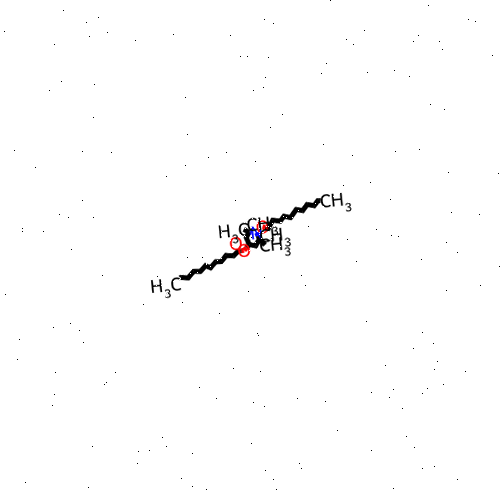 CCCCCCCCCCCON1C(C)(C)CC(OC(=O)CCCCCCCCCCC)CC1(C)C